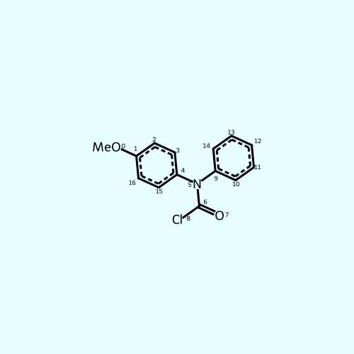 COc1ccc(N(C(=O)Cl)c2ccccc2)cc1